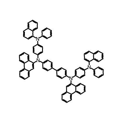 c1ccc(N(c2ccc(N(c3ccc(-c4ccc(N(c5ccc(N(c6ccccc6)c6cccc7ccccc67)cc5)c5cc6ccccc6c6ccccc56)cc4)cc3)c3cc4ccccc4c4ccccc34)cc2)c2cccc3ccccc23)cc1